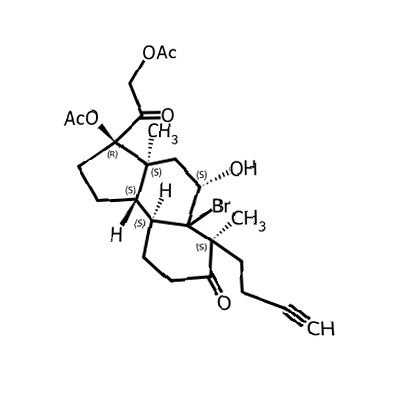 C#CCC[C@@]1(C)C(=O)CC[C@H]2[C@@H]3CC[C@](OC(C)=O)(C(=O)COC(C)=O)[C@@]3(C)C[C@H](O)C21Br